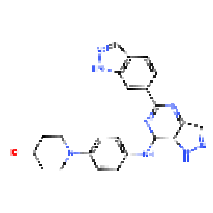 OC1CCN(c2ccc(Nc3nc(-c4ccc5cn[nH]c5c4)nc4cn[nH]c34)cc2)CC1